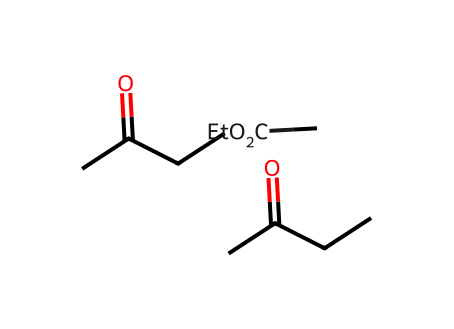 CCC(C)=O.CCC(C)=O.CCOC(C)=O